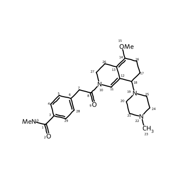 CNC(=O)c1ccc(CC(=O)N2C=C3C(=C(OC)CCC3N3CCN(C)CC3)CC2)cc1